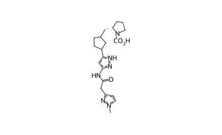 Cn1ccc(CC(=O)Nc2cc(C3CCC(C[C@@H]4CCCN4C(=O)O)C3)[nH]n2)n1